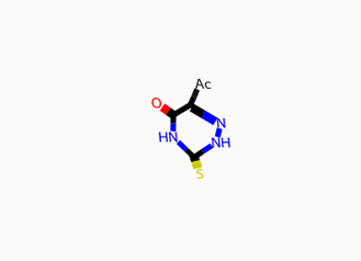 CC(=O)c1n[nH]c(=S)[nH]c1=O